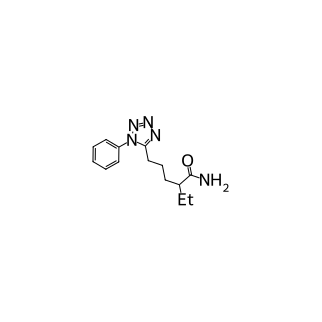 CCC(CCCc1nnnn1-c1ccccc1)C(N)=O